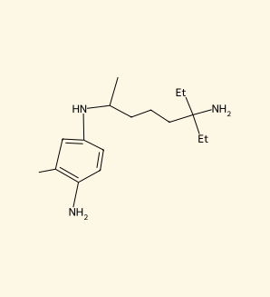 CCC(N)(CC)CCCC(C)Nc1ccc(N)c(C)c1